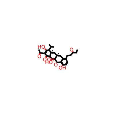 CCC(=O)CCc1ccc(O)c2c1C[C@]1(C)C[C@]3(C)C(C(C)C)C(O)=C(C(C)=O)C(=O)[C@]3(O)C(O)=C1C2=O